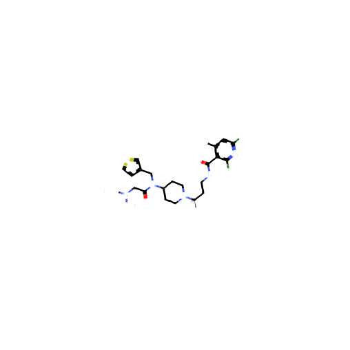 Cc1cc(Cl)nc(Cl)c1C(=O)NCC[C@@H](C)N1CCC(N(Cc2ccsc2)C(=O)CN(C)C)CC1